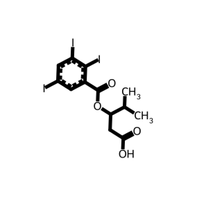 CC(C)C(CC(=O)O)OC(=O)c1cc(I)cc(I)c1I